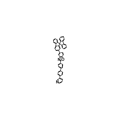 c1cncc(-c2ccc(-c3ccc(-c4nc5cc(-c6ccc7c(c6)C6(c8ccccc8-c8ccccc86)c6ccccc6-7)ccc5o4)cc3)cc2)c1